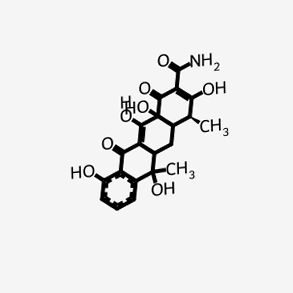 C[C@@H]1C(O)=C(C(N)=O)C(=O)C2(O)C(O)=C3C(=O)c4c(O)cccc4C(C)(O)C3CC12